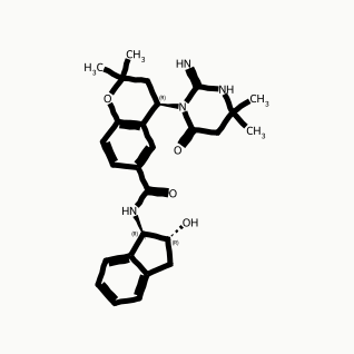 CC1(C)CC(=O)N([C@@H]2CC(C)(C)Oc3ccc(C(=O)N[C@@H]4c5ccccc5C[C@H]4O)cc32)C(=N)N1